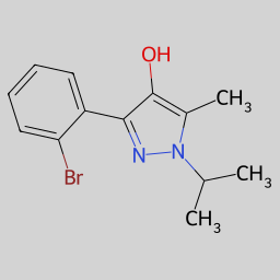 Cc1c(O)c(-c2ccccc2Br)nn1C(C)C